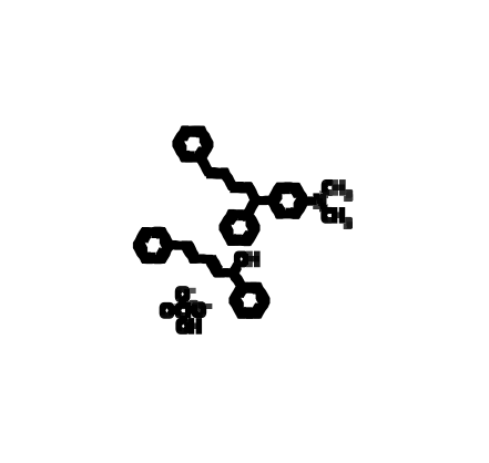 CN(C)c1ccc(C(C=CC=Cc2ccccc2)c2ccccc2)cc1.OC(C=CC=Cc1ccccc1)c1ccccc1.[O-][Cl+3]([O-])([O-])O